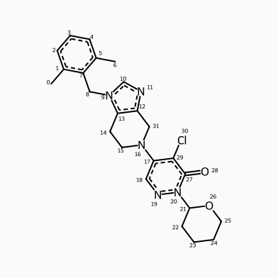 Cc1cccc(C)c1Cn1cnc2c1CCN(c1cnn(C3CCCCO3)c(=O)c1Cl)C2